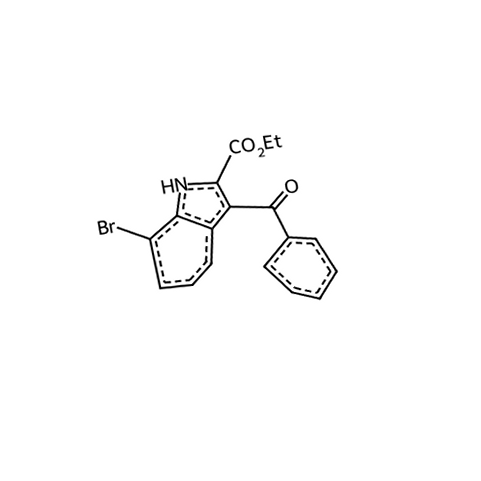 CCOC(=O)c1[nH]c2c(Br)cccc2c1C(=O)c1ccccc1